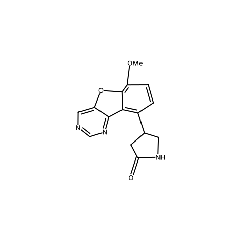 COc1ccc(C2CNC(=O)C2)c2c1oc1cncnc12